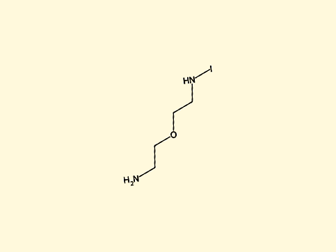 NCCOCCNI